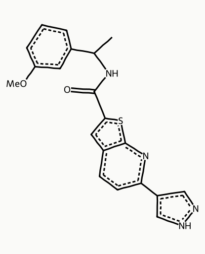 COc1cccc(C(C)NC(=O)c2cc3ccc(-c4cn[nH]c4)nc3s2)c1